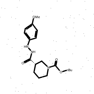 CCCCOC(=O)N1CCC[C@H](C(=O)NNc2ccc(OC)cc2)C1